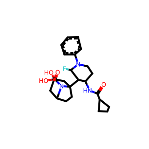 O=C(NC1CCN(c2ccccc2)C(F)C1C12CCC(CC(O)C1)N2C(=O)O)C1CCC1